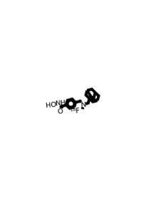 CN(Cc1ccc(C(=O)NO)cc1[18F])CC12CC3CC(CC(C3)C1)C2